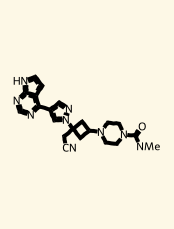 CNC(=O)N1CCN(C2CC(CC#N)(n3cc(-c4ncnc5[nH]ccc45)cn3)C2)CC1